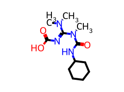 CN(C)C(=NC(=O)O)N(C)C(=O)NC1CCCCC1